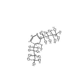 [O]Cc1c(C(Cl)(Cl)C(Cl)(Cl)C(Cl)(Cl)C(Cl)(Cl)Cl)cccc1C(Cl)(Cl)C(Cl)(Cl)C(Cl)(Cl)C(Cl)(Cl)Cl